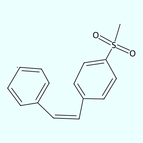 CS(=O)(=O)c1ccc(/C=C\c2cc[c]cc2)cc1